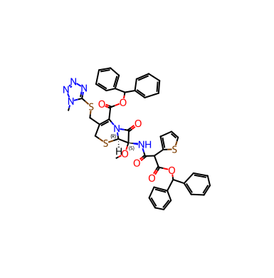 CO[C@@]1(NC(=O)C(C(=O)OC(c2ccccc2)c2ccccc2)c2cccs2)C(=O)N2C(C(=O)OC(c3ccccc3)c3ccccc3)=C(CSc3nnnn3C)CS[C@@H]21